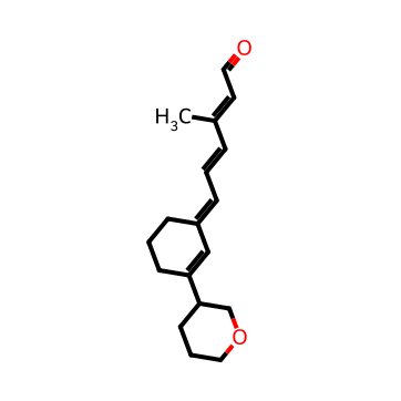 CC(/C=C/C=C1/C=C(C2CCCOC2)CCC1)=C\C=O